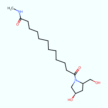 CNC(=O)CCCCCCCCCCC(=O)N1C[C@H](O)CC1CO